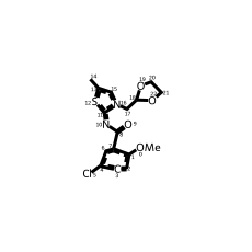 COc1ccc(Cl)cc1C(=O)N=c1sc(C)cn1CC1OCCO1